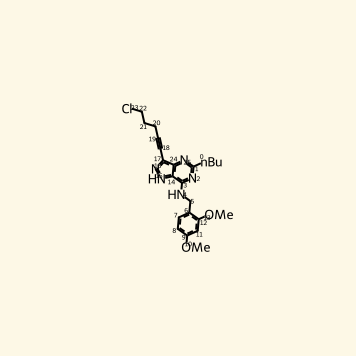 CCCCc1nc(NCc2ccc(OC)cc2OC)c2[nH]nc(C#CCCCCl)c2n1